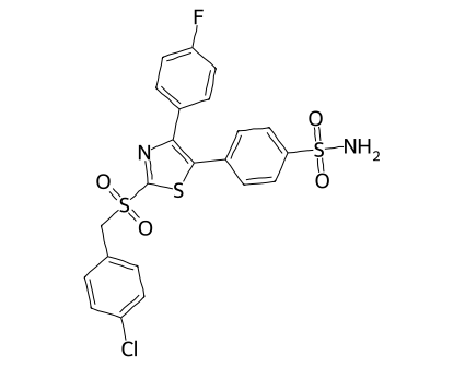 NS(=O)(=O)c1ccc(-c2sc(S(=O)(=O)Cc3ccc(Cl)cc3)nc2-c2ccc(F)cc2)cc1